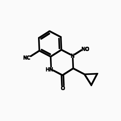 N#Cc1cccc2c1NC(=O)C(C1CC1)N2N=O